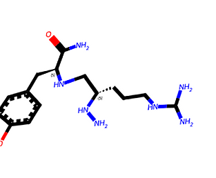 NN[C@@H](CCCNC(N)N)CN[C@@H](Cc1ccc(O)cc1)C(N)=O